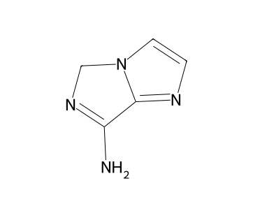 NC1=NCn2ccnc21